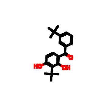 CC(C)(C)c1cccc(C(=O)c2ccc(O)c(C(C)(C)C)c2O)c1